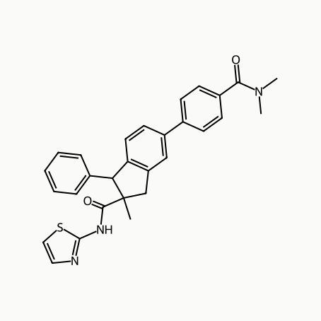 CN(C)C(=O)c1ccc(-c2ccc3c(c2)CC(C)(C(=O)Nc2nccs2)C3c2ccccc2)cc1